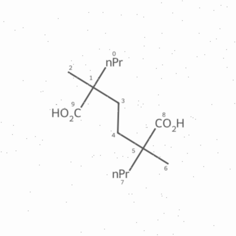 CCCC(C)(CCC(C)(CCC)C(=O)O)C(=O)O